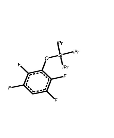 CC(C)[Si](Oc1c(F)c(F)[c]c(F)c1F)(C(C)C)C(C)C